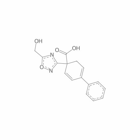 O=C(O)C1(c2noc(CO)n2)C=CC(c2ccccc2)=CC1